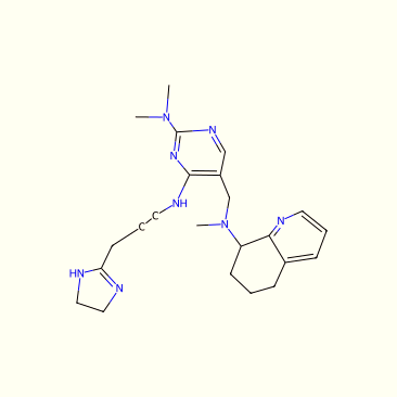 CN(C)c1ncc(CN(C)C2CCCc3cccnc32)c(NCCCC2=NCCN2)n1